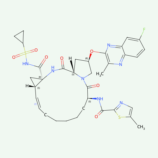 Cc1cnc(C(=O)N[C@H]2CCCCC/C=C\[C@@H]3C[C@@]3(C(=O)NS(=O)(=O)C3CC3)NC(=O)[C@@H]3C[C@@H](Oc4nc5cc(F)ccc5nc4C)CN3C2=O)s1